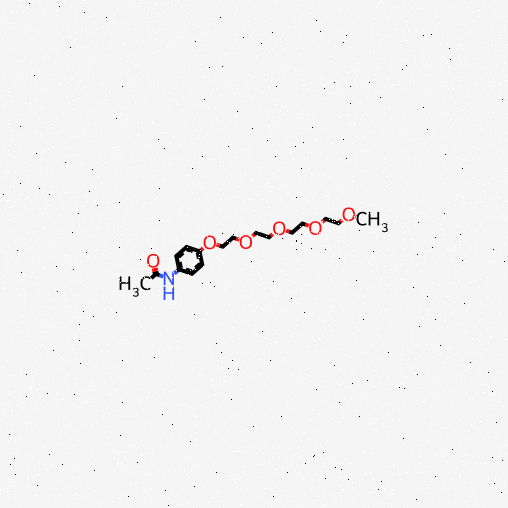 COCCOCCOCCOCCOc1ccc(NC(C)=O)cc1